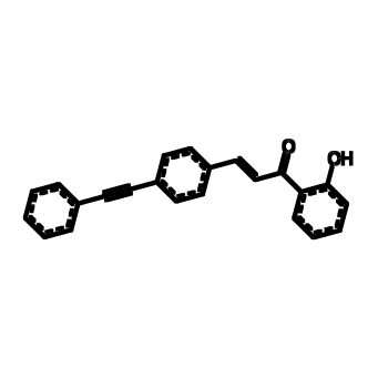 O=C(C=Cc1ccc(C#Cc2ccccc2)cc1)c1ccccc1O